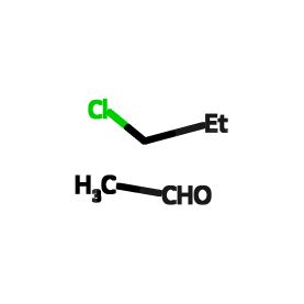 CC=O.CCCCl